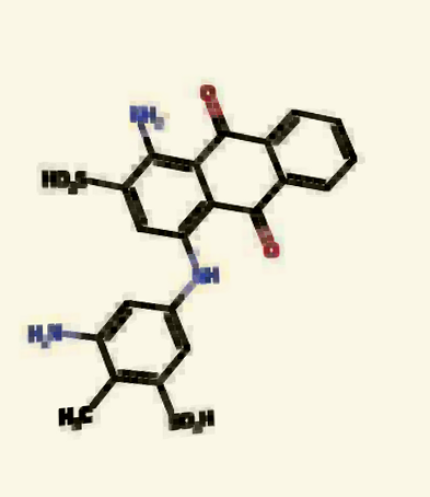 Cc1c(N)cc(Nc2cc(S(=O)(=O)O)c(N)c3c2C(=O)c2ccccc2C3=O)cc1S(=O)(=O)O